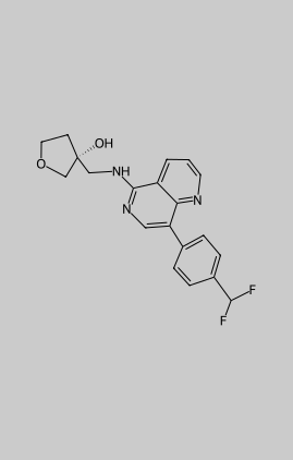 O[C@@]1(CNc2ncc(-c3ccc(C(F)F)cc3)c3ncccc23)CCOC1